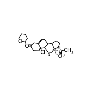 CC(=O)[C@H]1CCC2C3CC=C4C[C@@H](OC5CCCCO5)CC[C@]4(C)C3CC[C@@]21C